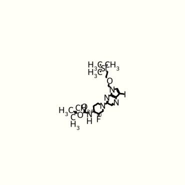 CC(C)(C)OC(=O)N[C@@H]1CCN(c2cnc3c(I)cn(COCC[Si](C)(C)C)c3n2)C[C@H]1F